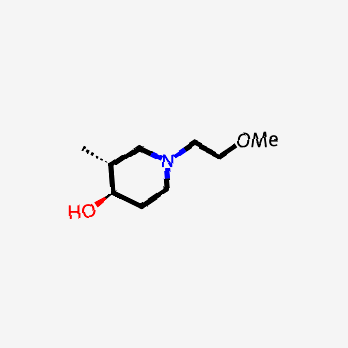 COCCN1CC[C@@H](O)[C@H](C)C1